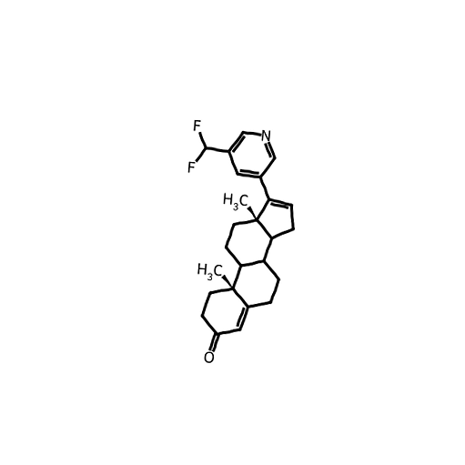 C[C@]12CCC(=O)C=C1CCC1C2CC[C@]2(C)C(c3cncc(C(F)F)c3)=CCC12